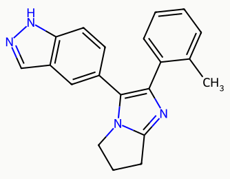 Cc1ccccc1-c1nc2n(c1-c1ccc3[nH]ncc3c1)CCC2